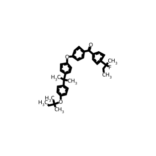 CCC(C)(C)Oc1ccc(C(C)(C)c2ccc(Oc3ccc(C(=O)c4ccc(C(C)(F)CC)cc4)cc3)cc2)cc1